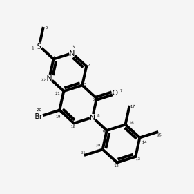 CSc1ncc2c(=O)n(-c3c(C)ccc(C)c3C)cc(Br)c2n1